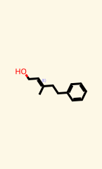 C/C(=C\CO)CCc1ccccc1